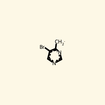 [CH2]c1ncncc1Br